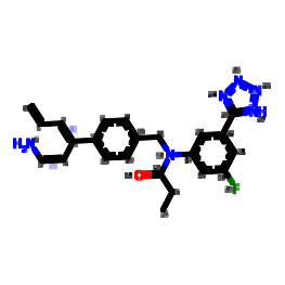 C=C/C=C(\C=C/N)c1ccc(CN(C(=O)CC)c2cc(F)cc(-c3nnn[nH]3)c2)cc1